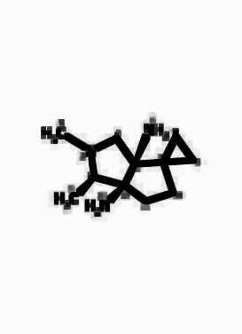 C[C@H]1N(C)C[C@]2(N)C3(CC3)CC[C@]12N